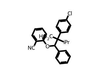 CC(C)C(C(=O)O)(c1ccc(Cl)cc1)C(Oc1ccccc1C#N)c1ccccc1